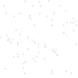 O=COC1(CCCCc2cc(O)c(CCCCCC3(C(=O)O)CC3)cc2O)CC1